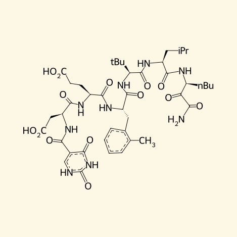 CCCC[C@H](NC(=O)[C@H](CC(C)C)NC(=O)[C@@H](NC(=O)[C@H](Cc1ccccc1C)NC(=O)[C@H](CCC(=O)O)NC(=O)[C@H](CC(=O)O)NC(=O)c1c[nH]c(=O)[nH]c1=O)C(C)(C)C)C(=O)C(N)=O